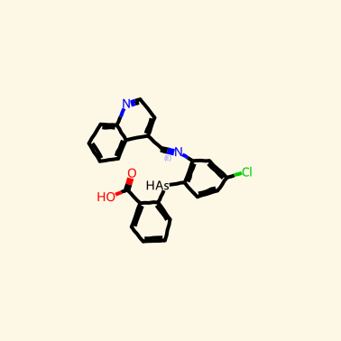 O=C(O)c1ccccc1[AsH]c1ccc(Cl)cc1/N=C/c1ccnc2ccccc12